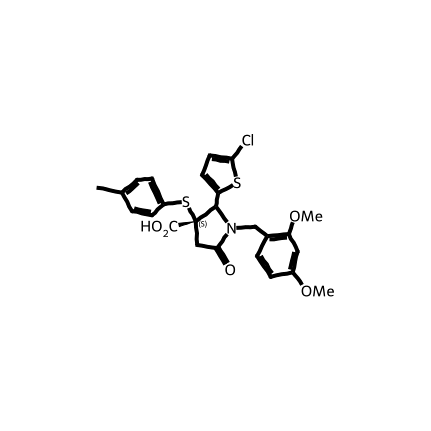 COc1ccc(CN2C(=O)C[C@@](Sc3ccc(C)cc3)(C(=O)O)C2c2ccc(Cl)s2)c(OC)c1